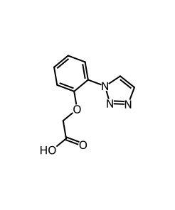 O=C(O)COc1ccccc1-n1ccnn1